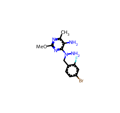 COc1nc(C)c(N)c(N(N)Cc2ccc(Br)cc2F)n1